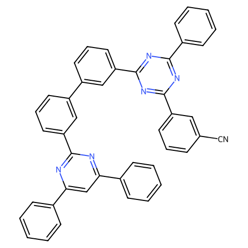 N#Cc1cccc(-c2nc(-c3ccccc3)nc(-c3cccc(-c4cccc(-c5nc(-c6ccccc6)cc(-c6ccccc6)n5)c4)c3)n2)c1